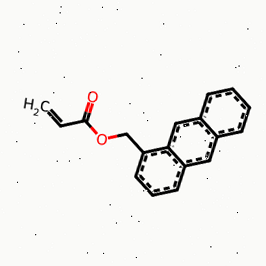 C=CC(=O)OCc1cccc2cc3ccccc3cc12